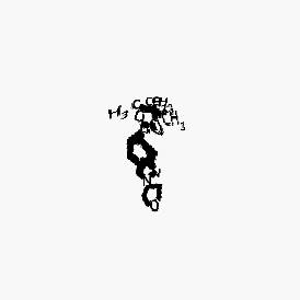 CC1(C)OB(c2ccc3cn(C4CCOCC4)nc3c2)OC1(C)C